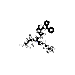 CC(C)(C)OC(=O)Nc1nc(/C(=N/OC(C)(C)C(=O)OC(C)(C)C)C(=O)N[C@@H]2C(=O)N3C(C(=O)OC(c4ccccc4)c4ccccc4)=C(CCl)CSC23)cs1